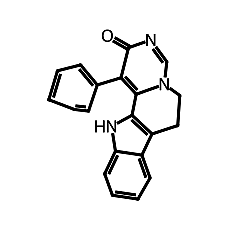 O=c1ncn2c(c1-c1ccccc1)-c1[nH]c3ccccc3c1CC2